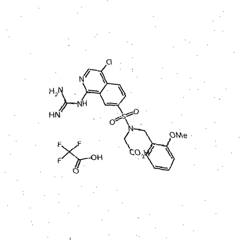 COc1ccccc1CN(CC(=O)O)S(=O)(=O)c1ccc2c(Cl)cnc(NC(=N)N)c2c1.O=C(O)C(F)(F)F